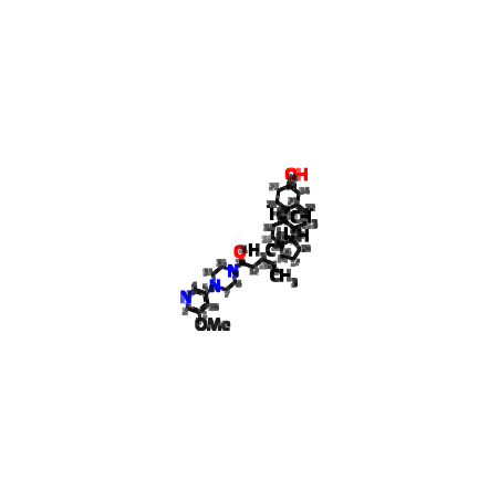 COc1cncc(N2CCN(C(=O)CCC(C)[C@H]3CC[C@H]4[C@@H]5CC=C6C[C@@H](O)CC[C@]6(C)[C@H]5CC[C@]34C)CC2)c1